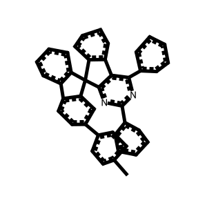 Cc1ccc(-c2ccc3c(c2)C2(c4ccccc4-3)c3ccccc3-c3c(-c4ccccc4)nc(-c4ccccc4)nc32)cc1